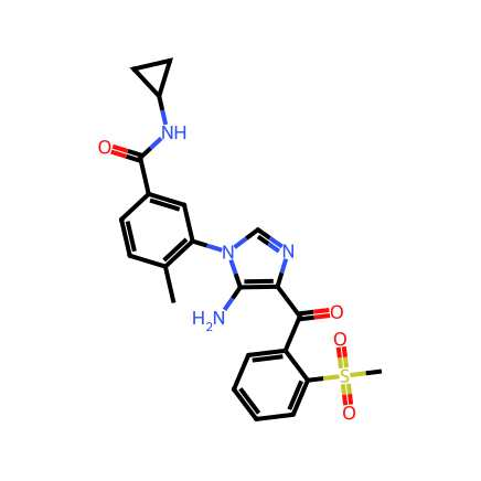 Cc1ccc(C(=O)NC2CC2)cc1-n1cnc(C(=O)c2ccccc2S(C)(=O)=O)c1N